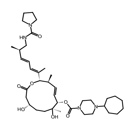 C/C(=C\C=C\[C@@H](C)CNC(=O)N1CCCC1)[C@H]1OC(=O)C[C@@H](O)CC[C@](C)(O)[C@@H](OC(=O)N2CCN(C3CCCCCC3)CC2)/C=C/[C@@H]1C